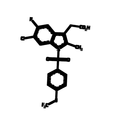 Cc1c(CC(=O)O)c2cc(F)c(Cl)cc2n1S(=O)(=O)c1ccc(SC(F)(F)F)cc1